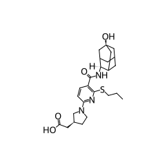 CCCSc1nc(N2CC[C@@H](CC(=O)O)C2)ccc1C(=O)N[C@H]1C2CC3CC1C[C@@](O)(C3)C2